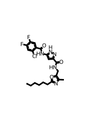 CCCCCCc1nc(C)c(CNC(=O)c2cc(NC(=O)c3cc(F)c(F)cc3Cl)[nH]n2)o1